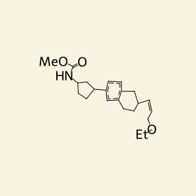 CCOC/C=C\C1CCc2cc(C3CCC(NC(=O)OC)C3)ccc2C1